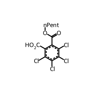 CCCCCOC(=O)c1c(Cl)c(Cl)c(Cl)c(Cl)c1C(=O)O